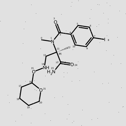 CN(C(=O)c1ccc(I)cc1)[C@](C)(CNOC1CCCCO1)C(N)=O